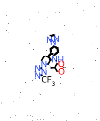 FC(F)(F)c1ncnc(N2CCc3c([nH]c4ccc(-n5nccn5)cc34)[C@@H]2CC2COCOC2)n1